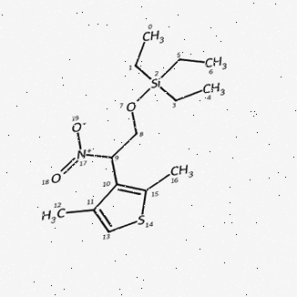 CC[Si](CC)(CC)OCC(c1c(C)csc1C)[N+](=O)[O-]